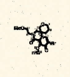 CCCCOc1c2n(cc(Br)c1=O)C1(CCCOC1)CN(CCOC)C2=O